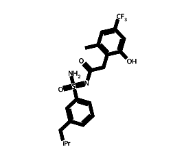 Cc1cc(C(F)(F)F)cc(O)c1CC(=O)N=S(N)(=O)c1cccc(CC(C)C)c1